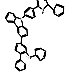 C1=CC(c2ccccc2)NC(c2ccc(-n3c4ccccc4c4cc(-c5ccc(-c6ccccc6)c(Nc6ccccc6)c5)ccc43)cc2)=C1